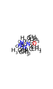 CC(C)(C)c1ccc(N(c2ccc3c(c2)N(c2ccccc2)c2cc(C(C)(C)C)cc4c2B3c2c(c3c(n2-c2ccccc2)CCCC3)N4c2ccccc2)c2ccc(C(C)(C)C)cc2-c2cccc3oc4ccccc4c23)cc1